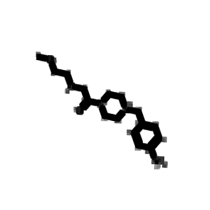 COCCOCC(=O)N1CCN(Cc2ccc(N)cc2)CC1